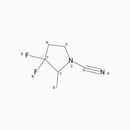 CC1N(C#N)CCC1(F)F